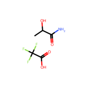 CC(O)C(N)=O.O=C(O)C(F)(F)F